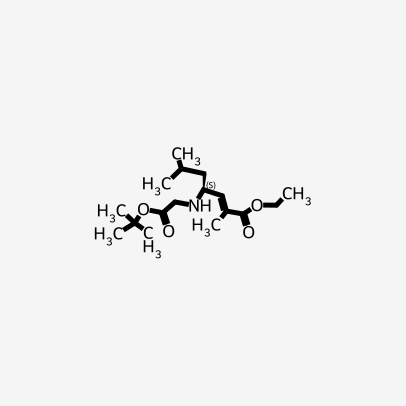 CCOC(=O)C(C)=C[C@H](CC(C)C)NCC(=O)OC(C)(C)C